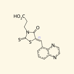 O=C(O)CCN1C(=O)/C(=C/c2cccc3nccnc23)SC1=S